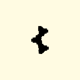 Cc1ccc(N(c2ccc(C)cc2)c2ccc(/C=C/c3ccc(N(c4ccc(C)cc4)c4ccc(/C=C/c5ccc(N(c6ccc(C)cc6)c6ccc(C)cc6)cc5)cc4)cc3)cc2)cc1